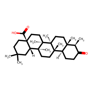 C[C@H]1C(=O)CC[C@@H]2[C@]1(C)CC[C@]1(C)[C@]3(C)CC[C@@]4(C(=O)O)CCC(C)(C)C[C@H]4[C@]3(C)CC[C@@]21C